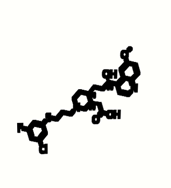 COc1ccc2nccc([C@@H](O)CC[C@@H]3CCN(CCCSc4cc(F)cc(Cl)c4)C[C@@H]3CC(=O)O)c2c1